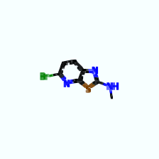 CNc1nc2ccc(Br)nc2s1